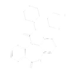 CCC(CC)[C@H]1CCCCN1CC(=O)N1c2ccccc2C(=O)Nc2cccnc21